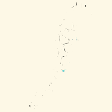 C=CCCC1CCC(c2ccc(-c3ccc(-c4ccc(CCCCCCCCCC)c(F)c4F)cc3)cc2F)CC1